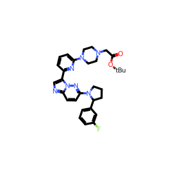 CC(C)(C)OC(=O)CN1CCN(c2cccc(-c3cnc4ccc(N5CCCC5c5cccc(F)c5)nn34)n2)CC1